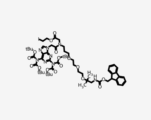 CC(C)(C)OC(=O)N(C(=O)OC(C)(C)C)c1nc(N(C(=O)OC(C)(C)C)C(=O)OC(C)(C)C)c2ncn(CC(=O)N(CCCOCCOCCOC(C)(C)CNC(=O)OCC3c4ccccc4-c4ccccc43)CC(=O)OCCI)c2n1